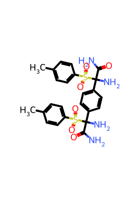 Cc1ccc(S(=O)(=O)C(N)(C(N)=O)c2ccc(C(N)(C(N)=O)S(=O)(=O)c3ccc(C)cc3)cc2)cc1